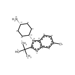 CC(C)(O)c1nc2cc(Cl)ccc2n1[C@H]1CC[C@@H](N)CC1